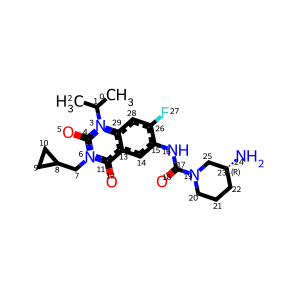 CC(C)n1c(=O)n(CC2CC2)c(=O)c2cc(NC(=O)N3CCC[C@@H](N)C3)c(F)cc21